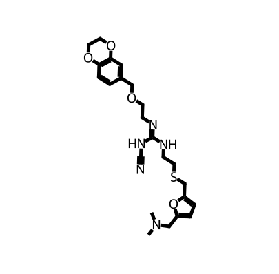 CN(C)Cc1ccc(CSCCNC(=NCCOCc2ccc3c(c2)OCCO3)NC#N)o1